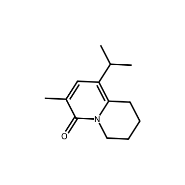 Cc1cc(C(C)C)c2n(c1=O)CCCC2